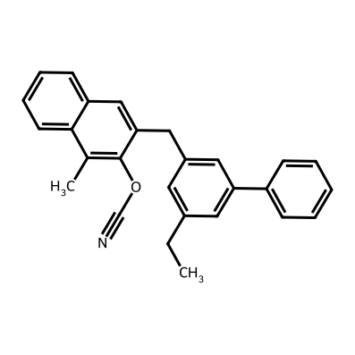 CCc1cc(Cc2cc3ccccc3c(C)c2OC#N)cc(-c2ccccc2)c1